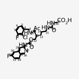 CC(=O)N(NCc1cccc(F)c1Cl)[C@@H](CCCNC(=O)NCC(=O)O)COC(=O)Nc1cc2cc(F)ccc2cn1